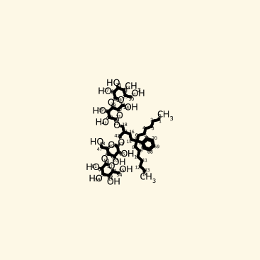 CCCCCCCC(CCCCCCC)(CCC(CO[C@H]1OC(CO)[C@H](O[C@@H]2OC(CO)[C@H](C)C(O)[C@H]2O)C(O)[C@H]1O)CO[C@H]1OC(CO)[C@H](O[C@@H]2OC(CO)[C@H](O)C(O)[C@H]2O)C(O)[C@H]1O)c1ccccc1